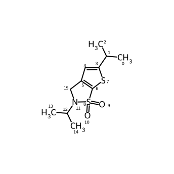 CC(C)c1cc2c(s1)S(=O)(=O)N(C(C)C)C2